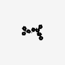 c1ccc(-c2ccc(-c3cc(-c4ccccc4)nc(-c4cccc(Oc5ccc(N(c6ccccc6)c6ccccc6)cc5)c4)c3)cc2)cc1